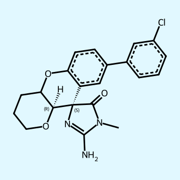 CN1C(=O)[C@]2(N=C1N)c1cc(-c3cccc(Cl)c3)ccc1OC1CCCO[C@@H]12